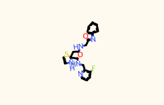 O=C(NCc1ncccc1F)C1(CCNCc2nc3ccccc3o2)NC=CS1